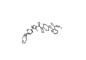 Cc1c(C(=O)N[C@H]2CC[C@H](Oc3ncccc3C(N)=O)CC2)cnn1-c1ccc(N2CCOCC2)cc1